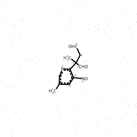 Cc1cnc(C(C)(C=O)CC=O)c(N=O)c1